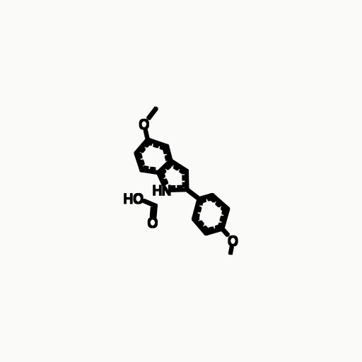 COc1ccc(-c2cc3cc(OC)ccc3[nH]2)cc1.O=CO